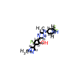 CN(c1cnc(-c2cc(F)c(-c3cnn(C)c3)cc2O)cn1)[C@H]1C[C@@H]2CC(F)(F)[C@H](C1)N2